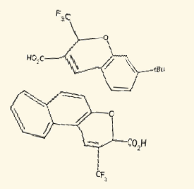 CC(C)(C)c1ccc2c(c1)OC(C(F)(F)F)C(C(=O)O)=C2.O=C(O)C1Oc2ccc3ccccc3c2C=C1C(F)(F)F